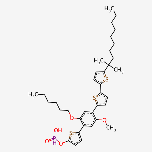 CCCCCCCCC(C)(C)c1ccc(-c2ccc(-c3cc(OCCCCCC)c(-c4ccc(O[PH](=O)O)s4)cc3OC)s2)s1